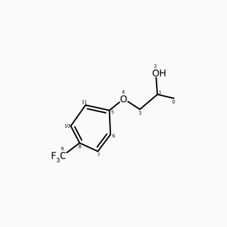 CC(O)COc1ccc(C(F)(F)F)cc1